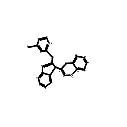 Cc1ccnc(CC2=Cc3ccccc3C2C2=COc3ccccc3C2)c1